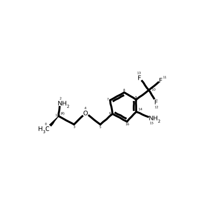 C[C@@H](N)COCc1ccc(C(F)(F)F)c(N)c1